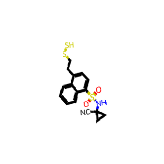 N#CC1(NS(=O)(=O)c2ccc(CCSS)c3ccccc23)CC1